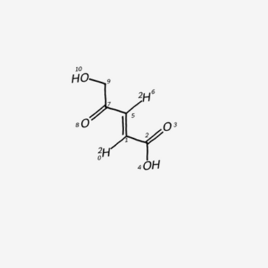 [2H]/C(C(=O)O)=C(/[2H])C(=O)CO